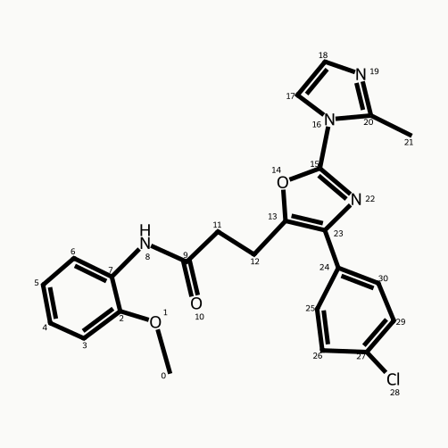 COc1ccccc1NC(=O)CCc1oc(-n2ccnc2C)nc1-c1ccc(Cl)cc1